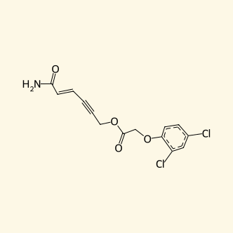 NC(=O)C=CC#CCOC(=O)COc1ccc(Cl)cc1Cl